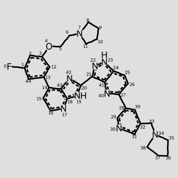 Fc1cc(OCCN2CCCC2)cc(-c2ccnc3[nH]c(-c4n[nH]c5ccc(-c6cncc(CN7CCCC7)c6)nc45)nc23)c1